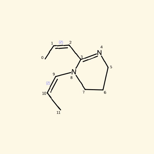 C/C=C\C1=NCCCN1/C=C\C